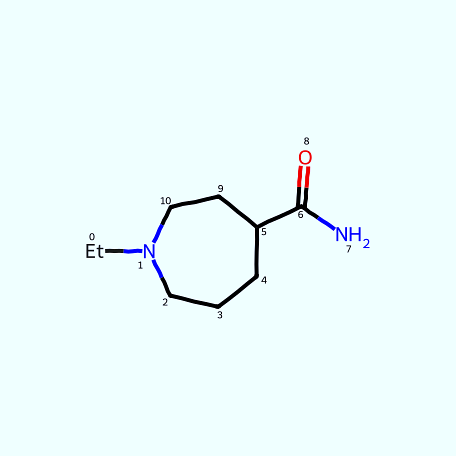 CCN1CCCC(C(N)=O)CC1